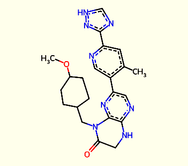 COC1CCC(CN2C(=O)CNc3ncc(-c4cnc(-c5nc[nH]n5)cc4C)nc32)CC1